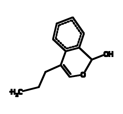 [CH2]CCC1=COC(O)c2ccccc21